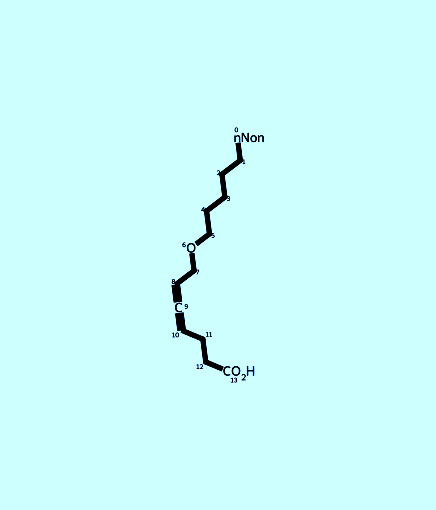 CCCCCCCCCCCCCCOCC=C=CCCC(=O)O